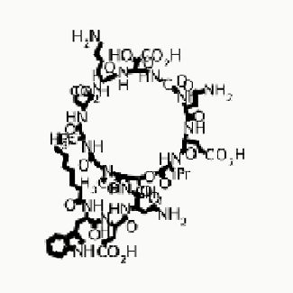 CC(C)CCCCCCC(=O)NC(Cc1c[nH]c2ccccc12)C(=O)NC(CCC(=O)O)C(=O)NC(CC(N)=O)C(=O)NC1C(=O)N(C)CC(=O)NC(C)C(=O)NC(CC(=O)O)C(=O)NC(CCCCN)C(=O)NC(C(O)C(=O)O)C(=O)NCC(=O)NC(CC(N)=O)C(=O)NC(CCC(=O)O)C(=O)NC(C(C)C)C(=O)OC1C